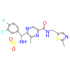 Cc1ncc(CNC(=O)c2cnc(C(N[SH](=O)=O)c3ccc(F)c(F)c3)c(C)n2)s1